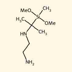 CO[Si](C)(OC)C(C)(C)NCCN